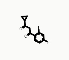 O=C(CC(=O)C1CC1)c1ccc(F)cc1I